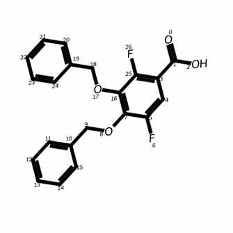 O=C(O)c1cc(F)c(OCc2ccccc2)c(OCc2ccccc2)c1F